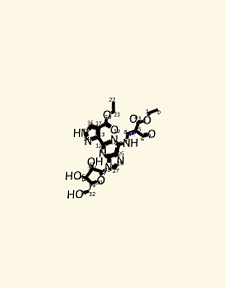 CCOC(=O)/C(C=O)=C/Nc1nc(-c2n[nH]cc2C(=O)OCC)nc2c1ncn2[C@@H]1O[C@H](CO)[C@@H](O)[C@H]1O